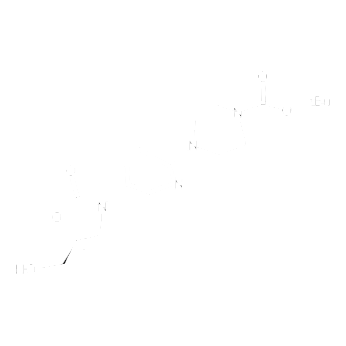 CC(C)(C)OC(=O)N1CCN(c2ccc(N3C[C@@H](CO)OC3=O)cn2)CC1